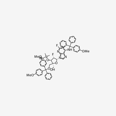 COc1ccc(C(Nc2nc(F)nc3c2ncn3[C@@H]2O[C@@](CO)(COC(c3ccccc3)(c3ccc(OC)cc3)c3ccc(OC)cc3)[C@@H](O[Si](C)(C)C(C)(C)C)[C@@H]2F)(c2ccccc2)c2ccccc2)cc1